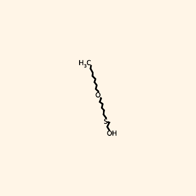 CCCCCCCCCCOCCCCCCCSCCCO